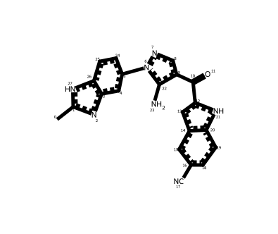 Cc1nc2cc(-n3ncc(C(=O)c4cc5cc(C#N)ccc5[nH]4)c3N)ccc2[nH]1